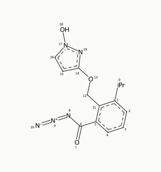 CC(C)c1cccc(C(=O)N=[N+]=[N-])c1COc1ccn(O)n1